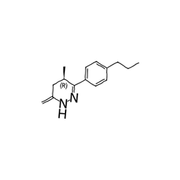 C=C1C[C@@H](C)C(c2ccc(CCC)cc2)=NN1